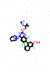 CN(C)CC1(COc2nc(N3CC4CCC(C3)N4)c3cc(Cl)c(-c4cc(O)c(F)c5ccccc45)c(F)c3n2)CC1